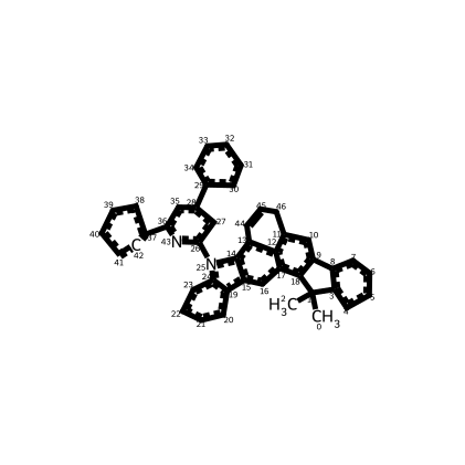 CC1(C)c2ccccc2-c2cc3c4c(c5c(cc4c21)c1ccccc1n5-c1cc(-c2ccccc2)cc(-c2ccccc2)n1)C=CC3